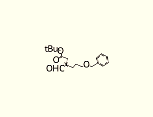 CC(C)(C)OC(=O)C[C@@H](C=O)CCCOCc1ccccc1